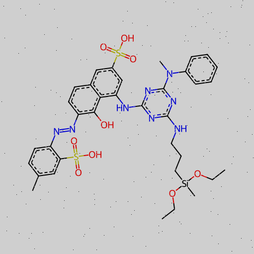 CCO[Si](C)(CCCNc1nc(Nc2cc(S(=O)(=O)O)cc3ccc(/N=N/c4ccc(C)cc4S(=O)(=O)O)c(O)c23)nc(N(C)c2ccccc2)n1)OCC